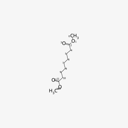 COC(=O)CCCCCCCC(=O)OC